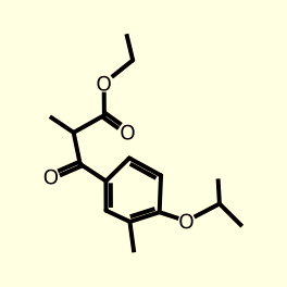 CCOC(=O)C(C)C(=O)c1ccc(OC(C)C)c(C)c1